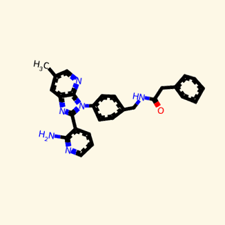 Cc1cnc2c(c1)nc(-c1cccnc1N)n2-c1ccc(CNC(=O)Cc2ccccc2)cc1